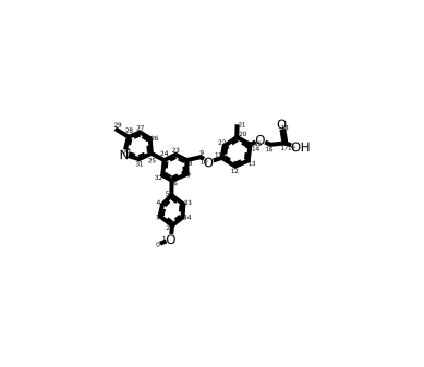 COc1ccc(-c2cc(COc3ccc(OCC(=O)O)c(C)c3)cc(-c3ccc(C)nc3)c2)cc1